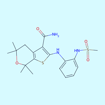 CC1(C)Cc2c(sc(Nc3ccccc3NS(C)(=O)=O)c2C(N)=O)C(C)(C)O1